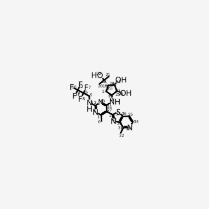 Cc1nc(NCC(F)(F)C(F)(F)F)nc(N[C@@H]2C[C@H](C(C)(C)O)[C@@H](O)[C@H]2O)c1-c1nc2c(C)nccc2s1